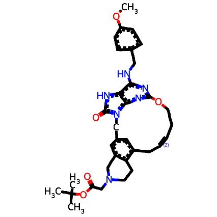 COc1ccc(CNc2nc3nc4c2[nH]c(=O)n4Cc2cc(c4c(c2)CN(CC(=O)OC(C)(C)C)CC4)C/C=C\CCO3)cc1